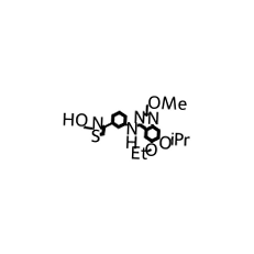 CCOc1cc2c(Nc3cccc(-c4csc(CO)n4)c3)nc(COC)nc2cc1OC(C)C